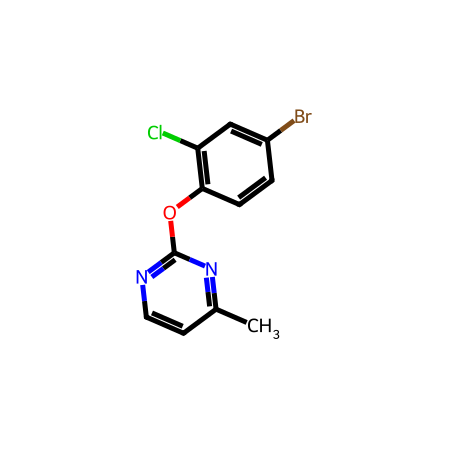 Cc1ccnc(Oc2ccc(Br)cc2Cl)n1